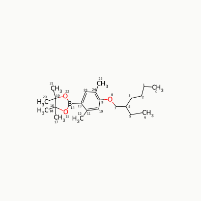 CCCCC(CC)COc1cc(C)c(B2OC(C)(C)C(C)(C)O2)cc1C